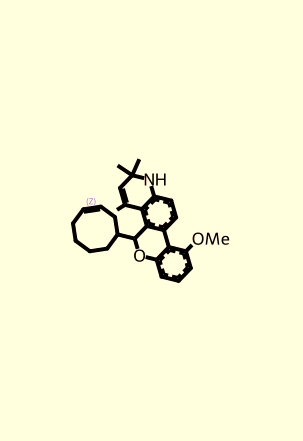 COc1cccc2c1-c1ccc3c(c1C(C1C/C=C\CCCC1)O2)C(C)=CC(C)(C)N3